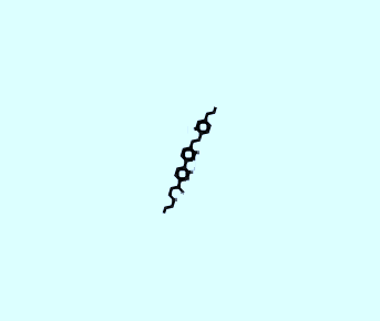 CCCc1ccc(CCc2ccc(-c3ccc(C4CCC(CCC)OC4)c(F)c3F)c(F)c2F)c(F)c1